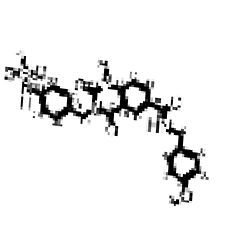 COc1ccc(CNC(=O)c2ccc3c(c2)c(=O)n(Cc2ccc(NS(C)(=O)=O)cc2)c(=O)n3C)cc1